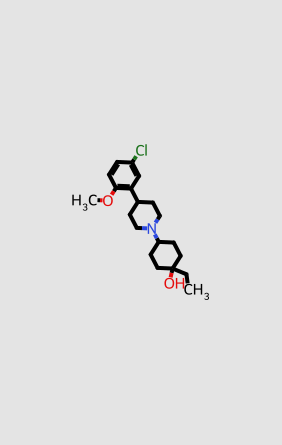 CCC1(O)CCC(N2CCC(c3cc(Cl)ccc3OC)CC2)CC1